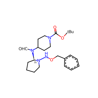 CC(C)(C)OC(=O)N1CCC(N(C=O)[C@@H]2CCCCN2NOCc2ccccc2)CC1